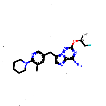 CCC[C@@H](CF)Oc1nc(N)c2ncc(Cc3cnc(N4CCCCC4)c(C)c3)n2n1